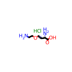 Cl.NCCO/C=C/[C@H](N)C(=O)O